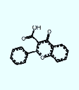 O=C(O)c1c(-c2ccccc2)oc2ccccc2c1=O